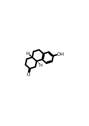 O=C1CC[C@@H]2CCc3cc(O)ccc3[C@H]2C1